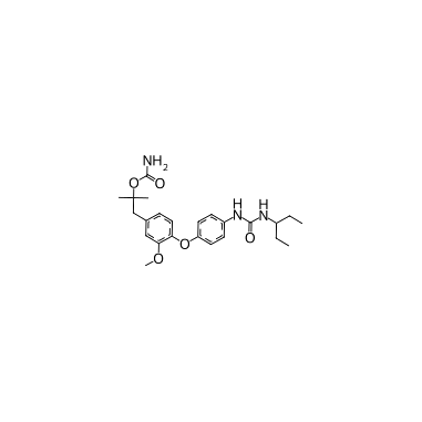 CCC(CC)NC(=O)Nc1ccc(Oc2ccc(CC(C)(C)OC(N)=O)cc2OC)cc1